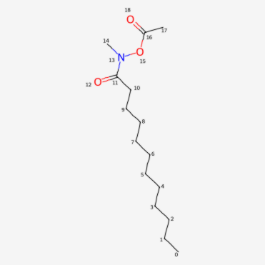 CCCCCCCCCCCC(=O)N(C)OC(C)=O